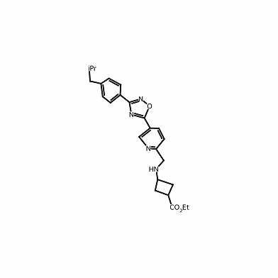 CCOC(=O)C1CC(NCc2ccc(-c3nc(-c4ccc(CC(C)C)cc4)no3)cn2)C1